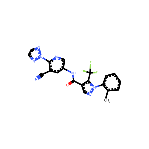 Cc1ccccc1-n1ncc(C(=O)Nc2cnc(-n3nccn3)c(C#N)c2)c1C(F)(F)F